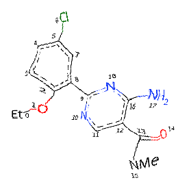 CCOc1ccc(Cl)cc1-c1ncc(C(=O)NC)c(N)n1